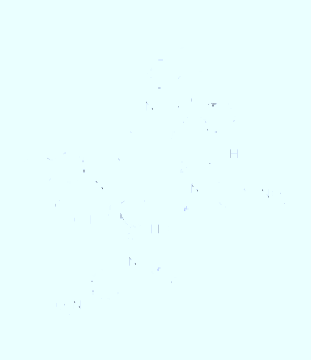 C/C=C/N1/C(=C/C=C/C2=[N+](Cc3ccc(C[N+]4=C(/C=C/C=C5/N(/C=C/C)c6ccc([N+](=O)[O-])cc6C5(C)Cc5ccccc5)C(C)(C)c5c4ccc4ccccc54)cc3)c3ccc4ccccc4c3C2(C)C)C(C)(Cc2ccccc2)c2cc([N+](=O)[O-])ccc21